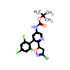 CC(C)(C)OC(=O)Nc1cnc(C2CC(Br)=NO2)c(-c2c(F)cc(F)cc2F)c1